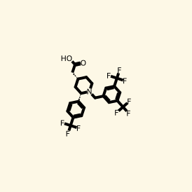 O=C(O)C[C@@H]1CCN(Cc2cc(C(F)(F)F)cc(C(F)(F)F)c2)[C@H](c2ccc(C(F)(F)F)cc2)C1